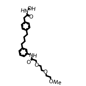 COCCOCCOCC(=O)Nc1cccc(CCCCc2ccc(CC(=O)NO)cc2)c1